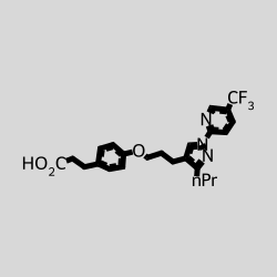 CCCc1nn(-c2ccc(C(F)(F)F)cn2)cc1CCCOc1ccc(CCC(=O)O)cc1